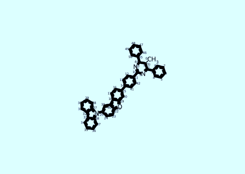 C[C@@H]1C(c2ccccc2)=NC(c2ccc(-c3ccc4c(c3)oc3ccc(-n5c6ccccc6c6ccccc65)cc34)cc2)=NC1c1ccccc1